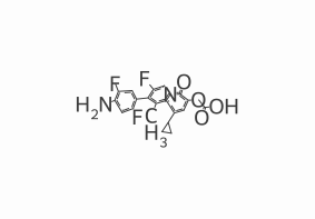 Cc1c(-c2cc(F)c(N)cc2F)c(F)cn2c(=O)c(OC(=O)O)cc(C3CC3)c12